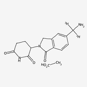 CC(=O)O.[2H]C([2H])(N)c1ccc2c(c1)CN(C1CCC(=O)NC1=O)C2=O